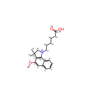 COc1cc2ccccc2c2c1C(C)(C)CN2CCCCCC(=O)O